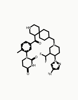 [2H]c1cnn(C2CCN(CC3CCC4(CCNCC4C(=O)c4ccc(C)c(N5CCC(=O)NC5=O)c4)CC3)CC2C(F)F)c1